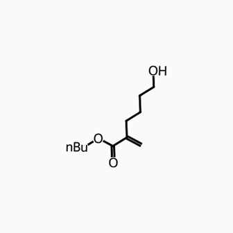 [CH2]CCCOC(=O)C(=C)CCCCO